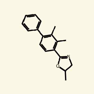 Cc1c(C2=NCC(C)O2)ccc(-c2ccccc2)c1C